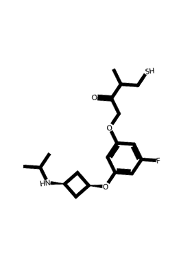 CC(C)N[C@H]1C[C@@H](Oc2cc(F)cc(OCC(=O)C(C)CS)c2)C1